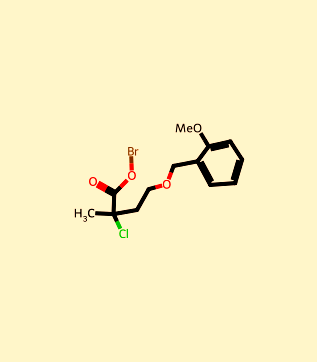 COc1ccccc1COCCC(C)(Cl)C(=O)OBr